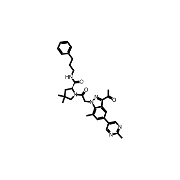 CC(=O)c1nn(CC(=O)N2CC(C)(C)C[C@H]2C(=O)NCCCc2ccccc2)c2c(C)cc(-c3cnc(C)nc3)cc12